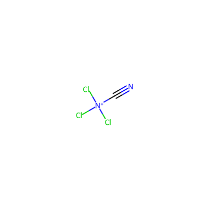 N#C[N+](Cl)(Cl)Cl